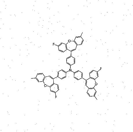 Cc1ccc2c(c1)Oc1cc(F)ccc1C(c1ccc(N(c3ccc(C4=Cc5ccc(C)cc5Oc5cc(F)ccc54)cc3)c3ccc(C4=Cc5ccc(C)cc5Oc5cc(F)ccc54)cc3)cc1)=C2